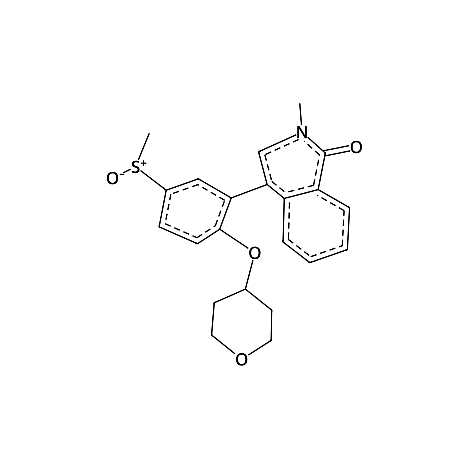 Cn1cc(-c2cc([S+](C)[O-])ccc2OC2CCOCC2)c2ccccc2c1=O